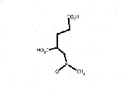 CP(O)CC(CCC(=O)O)C(=O)O